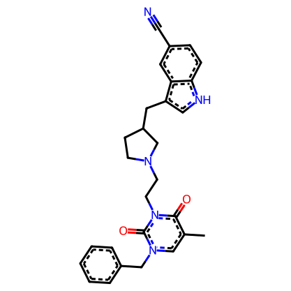 Cc1cn(Cc2ccccc2)c(=O)n(CCN2CCC(Cc3c[nH]c4ccc(C#N)cc34)C2)c1=O